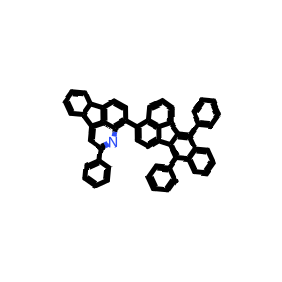 C1=CC2c3ccc(-c4ccc5c6c(cccc46)-c4c-5c(-c5ccccc5)c5ccccc5c4-c4ccccc4)c4nc(-c5ccccc5)cc(c34)C2C=C1